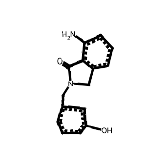 Nc1cccc2c1C(=O)N(Cc1cccc(O)c1)C2